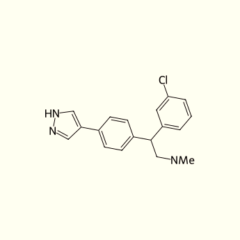 CNCC(c1ccc(-c2cn[nH]c2)cc1)c1cccc(Cl)c1